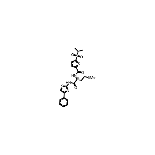 CSCC[C@H](NC(=O)c1ccc(S(=O)(=O)N(C)C)s1)C(=O)Nc1nc(-c2ccccc2)cs1